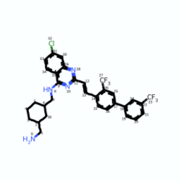 NCC1CCCC(CNc2nc(C=Cc3ccc(-c4cccc(C(F)(F)F)c4)cc3C(F)(F)F)nc3cc(Cl)ccc23)C1